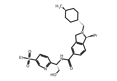 CCS(=O)(=O)c1ccc([C@@H](CO)NC(=O)c2ccc3c(c2)CN(C[C@H]2CC[C@H](C)CC2)[C@H]3C(C)C)nc1